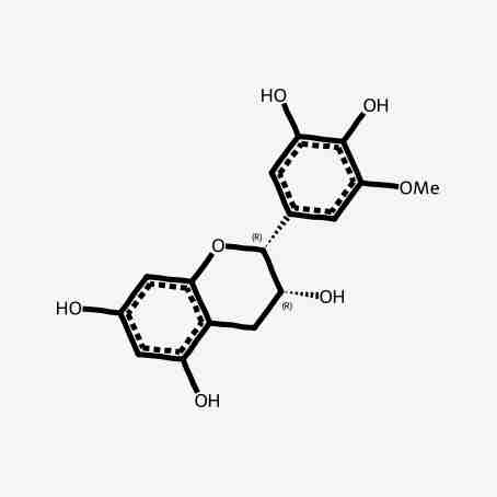 COc1cc([C@H]2Oc3cc(O)cc(O)c3C[C@H]2O)cc(O)c1O